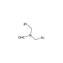 CC(=O)CN(C=O)CC(C)C